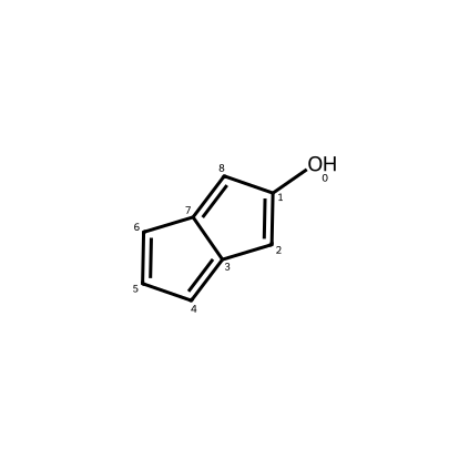 OC1=CC2=CC=CC2=C1